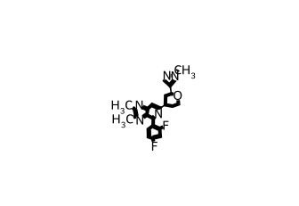 Cc1nc2cc([C@@H]3CCO[C@H](c4cnn(C)c4)C3)nc(-c3ccc(F)cc3F)c2nc1C